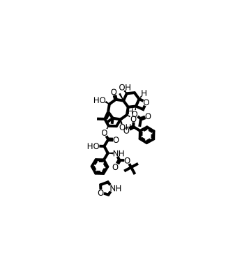 C1COCN1.CC(=O)O[C@@]12CO[C@@H]1C[C@H](O)[C@@]1(C)C(=O)[C@H](O)C3=C(C)[C@@H](OC(=O)C(O)[C@@H](NC(=O)OC(C)(C)C)c4ccccc4)C[C@@](O)([C@@H](OC(=O)c4ccccc4)[C@H]21)C3(C)C